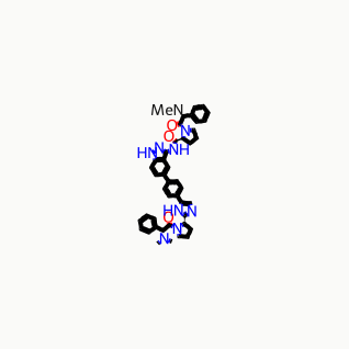 CN[C@@H](C(=O)N1CCC[C@H]1C(=O)Nc1n[nH]c2ccc(-c3ccc(-c4cnc([C@@H]5CCCN5C(=O)[C@@H](c5ccccc5)N(C)C)[nH]4)cc3)cc12)c1ccccc1